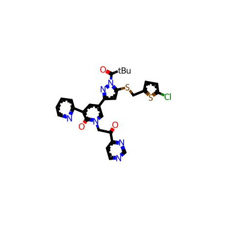 CC(C)(C)C(=O)n1nc(-c2cc(-c3ccccn3)c(=O)n(CC(=O)c3ccncn3)c2)cc1SCc1ccc(Cl)s1